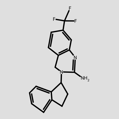 NC1=Nc2cc(C(F)(F)F)ccc2CN1C1CCc2ccccc21